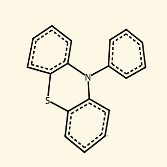 [c]1ccc2c(c1)N(c1ccccc1)c1ccccc1S2